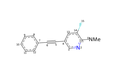 CNc1ncc(C#Cc2ccccc2)cc1F